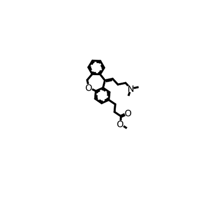 COC(=O)CCc1ccc2c(c1)C(=CCCN(C)C)c1ccccc1CO2